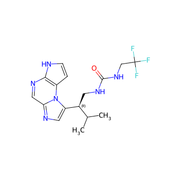 CC(C)[C@H](CNC(=O)NCC(F)(F)F)c1cnc2cnc3[nH]ccc3n12